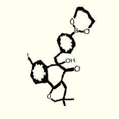 CC1(C)COC2=C(C1)C(=O)C(O)(Cc1ccc(B3OCCCO3)cc1)c1cc(I)ccc12